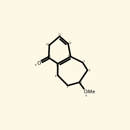 COC1CCC2=C(CC1)C(=O)CC=C2